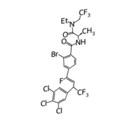 CCN(CC(F)(F)F)C(=O)[C@@H](C)NC(=O)c1ccc(/C(F)=C/C(c2cc(Cl)c(Cl)c(Cl)c2)C(F)(F)F)cc1Br